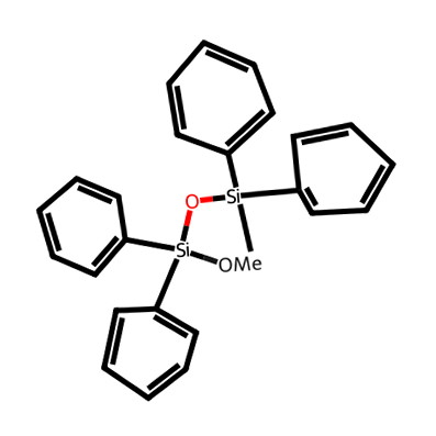 CO[Si](O[Si](C)(c1ccccc1)c1ccccc1)(c1ccccc1)c1ccccc1